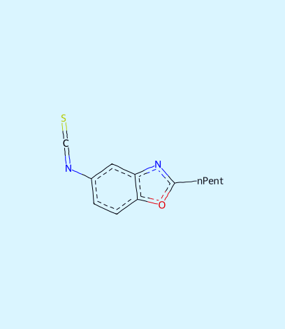 CCCCCc1nc2cc(N=C=S)ccc2o1